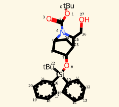 CC(C)(C)OC(=O)N1C2CC(O[Si](c3ccccc3)(c3ccccc3)C(C)(C)C)C(C2)C1CO